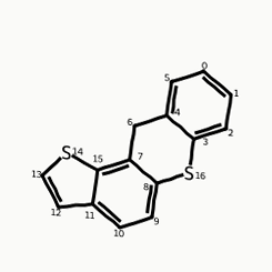 c1ccc2c(c1)Cc1c(ccc3ccsc13)S2